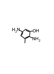 Cc1cc(N)cc(O)c1N